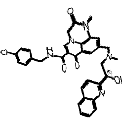 CN(Cc1cc2c3c(c1)c(=O)c(C(=O)NCc1ccc(Cl)cc1)cn3CC(=O)N2C)C[C@@H](O)c1ccc2ccccc2n1